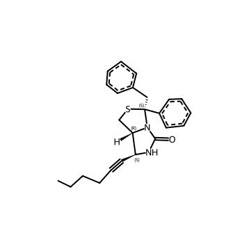 CCCCC#C[C@@H]1NC(=O)N2[C@H]1CS[C@@]2(Cc1ccccc1)c1ccccc1